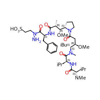 CC[C@H](C)[C@@H]([C@@H](CC(=O)N1CCC[C@H]1[C@H](OC)[C@@H](C)C(=O)N[C@@H](Cc1ccccc1)C(=O)N(N)CCS(=O)(=O)O)OC)N(C)C(=O)[C@@H](NC(=O)[C@@H](NC)C(C)C)C(C)C